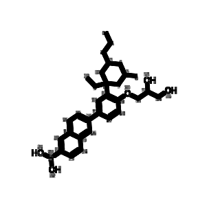 CCCC1CC(C)CC(CC)(c2cc(-c3ccc4cc(B(O)O)ccc4c3)ccc2OCC(O)CO)C1